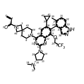 C=CC(=O)N1CC2(CCN(c3nc(N4CC[C@H](N(C)C)C4)nc4c(OCC(F)(F)F)c(-c5c(C)ccc6[nH]ncc56)c(C5CC5)cc34)CC2)C1